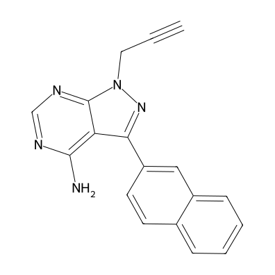 C#CCn1nc(-c2ccc3ccccc3c2)c2c(N)ncnc21